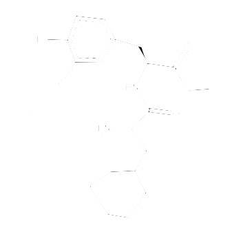 COC(=O)[C@H](Cc1ccc(O)c(O)c1)NC(=O)[C@@H](N)CC1CCCCC1.Cl